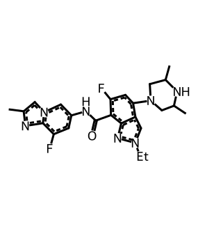 CCn1cc2c(N3CC(C)NC(C)C3)cc(F)c(C(=O)Nc3cc(F)c4nc(C)cn4c3)c2n1